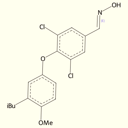 CCC(C)c1cc(Oc2c(Cl)cc(/C=N/O)cc2Cl)ccc1OC